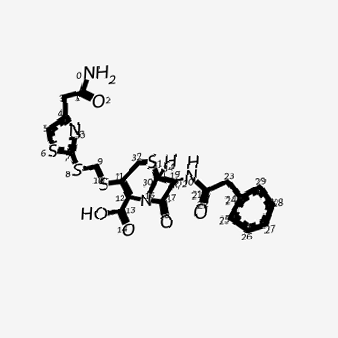 NC(=O)Cc1csc(SCSC2=C(C(=O)O)N3C(=O)[C@@H](NC(=O)Cc4ccccc4)[C@H]3SC2)n1